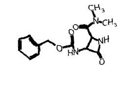 CN(C)C(=O)C1NC(=O)C1NC(=O)OCc1ccccc1